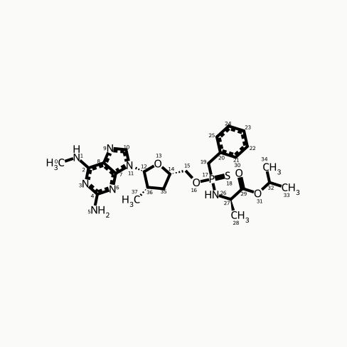 CNc1nc(N)nc2c1ncn2[C@@H]1O[C@H](COP(=S)(Cc2ccccc2)N[C@H](C)C(=O)OC(C)C)C[C@@H]1C